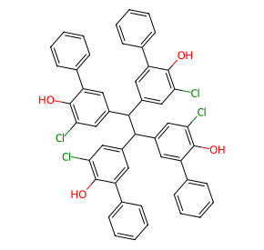 Oc1c(Cl)cc(C(c2cc(Cl)c(O)c(-c3ccccc3)c2)C(c2cc(Cl)c(O)c(-c3ccccc3)c2)c2cc(Cl)c(O)c(-c3ccccc3)c2)cc1-c1ccccc1